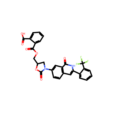 O=C(O)c1ccccc1C(=O)OCC1CN(c2ccc3cc(-c4ccccc4C(F)(F)F)[nH]c(=O)c3c2)C(=O)O1